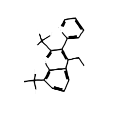 OCc1c(-c2ccccn2)c(C(F)(F)F)nc2c(C(F)(F)F)cccc12